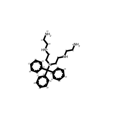 NCCNCCN(CCNCCN)C(c1ccccc1)(c1ccccc1)c1ccccc1